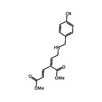 COC(=O)C=CC(=CCNCc1ccc(C#N)cc1)C(=O)OC